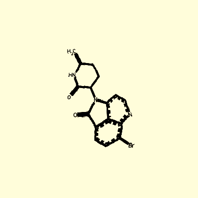 C=C1CCC(N2C(=O)c3ccc(Br)c4nccc2c34)C(=O)N1